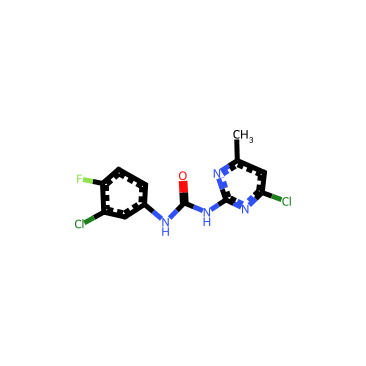 Cc1cc(Cl)nc(NC(=O)Nc2ccc(F)c(Cl)c2)n1